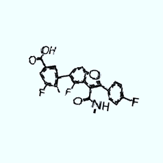 CNC(=O)c1c(-c2ccc(F)cc2)oc2ccc(-c3cc(C(=O)O)cc(F)c3C)c(F)c12